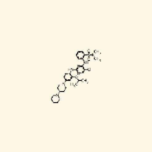 CC(C)Oc1cc(N2CCC(N3CCCCC3)CC2)ccc1Nc1ncc(Cl)c(Nc2ccccc2S(=O)(=O)N(C)C)n1